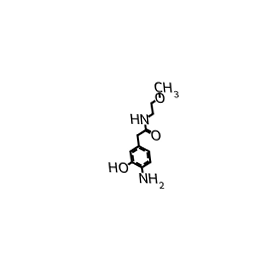 COCCNC(=O)Cc1ccc(N)c(O)c1